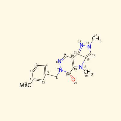 COc1cccc(Cn2ncc3c4nn(C)cc4n(C)c3c2=O)c1